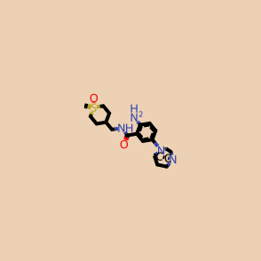 C=S1(=O)CCC(CNC(=O)c2cc(N3CCN4CCC3CC4)ccc2N)CC1